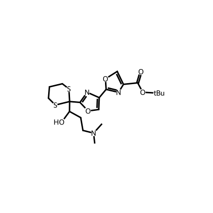 CN(C)CCC(O)C1(c2nc(-c3nc(C(=O)OC(C)(C)C)co3)co2)SCCCS1